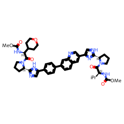 COC(=O)N[C@H](C(=O)N1CCC[C@H]1c1nc(-c2cnc3cc(-c4ccc(-c5cnc([C@@H]6CCCN6C(=O)[C@@H](NC(=O)OC)C6CCOCC6)[nH]5)cc4)ccc3c2)c[nH]1)C(C)C